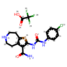 NC(=O)c1c(NC(=O)Nc2ccc(Cl)cc2)sc2c1CCNCC2.O=C(O)C(F)(F)F